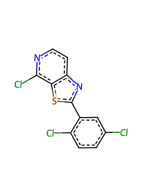 Clc1ccc(Cl)c(-c2nc3ccnc(Cl)c3s2)c1